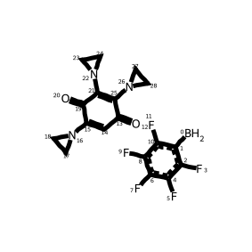 Bc1c(F)c(F)c(F)c(F)c1F.O=C1C=C(N2CC2)C(=O)C(N2CC2)=C1N1CC1